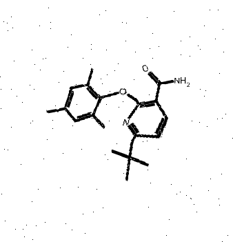 Cc1cc(C)c(Oc2nc(C(C)(C)C)ccc2C(N)=O)c(C)c1